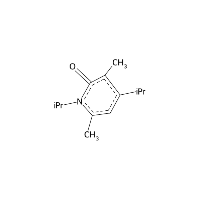 Cc1c(C(C)C)cc(C)n(C(C)C)c1=O